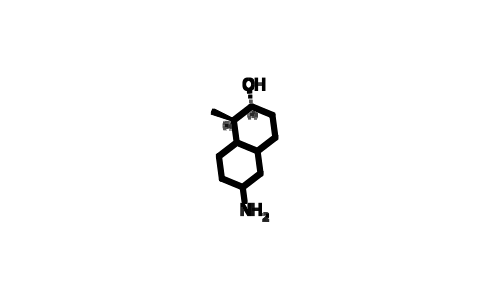 C[C@@H]1C2CCC(N)CC2CC[C@H]1O